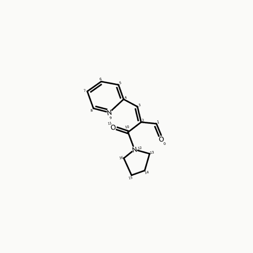 O=[C]C(=Cc1ccccn1)C(=O)N1CCCC1